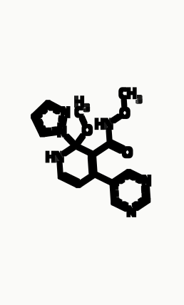 CONC(=O)C1=C(c2cncnc2)C=CNC1(OC)n1cccn1